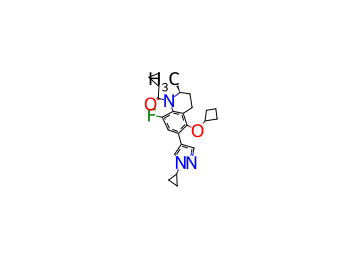 C[C@H]1CCc2c(OC3CCC3)c(-c3cnn(C4CC4)c3)cc(F)c2N1C(=O)C1CC1